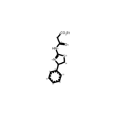 CCOC(=O)CC(=O)NC1=NC(c2ccccc2)CS1